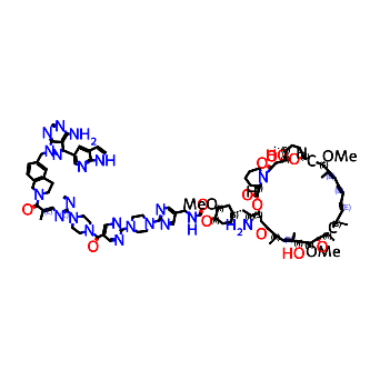 C=N/C(=N\C=C(/C)C(=O)N1CCc2cc(Cn3nc(-c4cnc5[nH]ccc5c4)c4c(N)ncnc43)ccc2C1)N1CCN(C(=O)c2cnc(N3CCN(c4ncc(CNC(=O)O[C@@H]5CC[C@@H](C[C@@H](N)[C@@H]6CC(=O)[C@H](C)/C=C(\C)[C@@H](O)[C@@H](OC)C(=O)[C@H](C)C[C@H](C)/C=C/C=C/C=C(\C)[C@@H](OC)C[C@@H]7CC[C@@H](C)[C@@](O)(O7)C(=O)C(=O)N7CCCC[C@H]7C(=O)O6)C[C@H]5OC)cn4)CC3)nc2)CC1